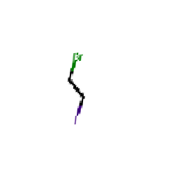 BrCCI